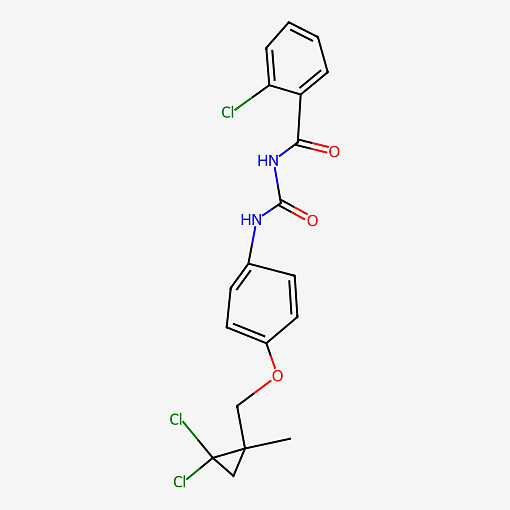 CC1(COc2ccc(NC(=O)NC(=O)c3ccccc3Cl)cc2)CC1(Cl)Cl